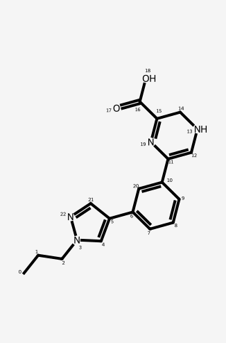 CCCn1cc(-c2cccc(C3=CNCC(C(=O)O)=N3)c2)cn1